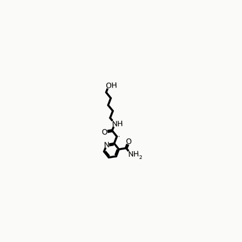 NC(=O)c1cccnc1[CH]C(=O)NCCCCCO